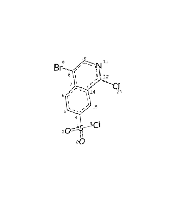 O=S(=O)(Cl)c1ccc2c(Br)cnc(Cl)c2c1